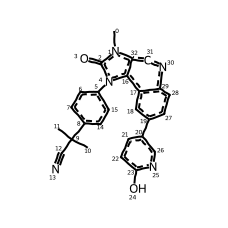 Cn1c(=O)n(-c2ccc(C(C)(C)C#N)cc2)c2c3cc(-c4ccc(O)nc4)ccc3ncc21